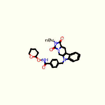 CCCCN1C(=O)C2Cc3c(n(Cc4ccc(C(=O)NOC5CCCCO5)cc4)c4ccccc34)CN2C1=O